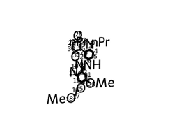 CCCN(CCC)c1ccc(Nc2ncnc3cc(OCCOC)c(OC)cc23)cc1C1=CC(=O)C=CC1=O